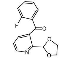 O=C(c1ccccc1F)c1cccnc1C1OCCO1